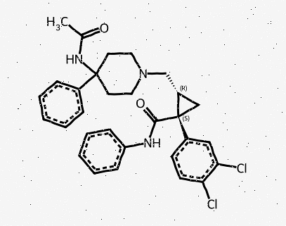 CC(=O)NC1(c2ccccc2)CCN(C[C@@H]2C[C@@]2(C(=O)Nc2ccccc2)c2ccc(Cl)c(Cl)c2)CC1